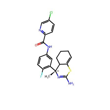 C[C@]1(c2cc(NC(=O)c3ccc(Cl)cn3)ccc2F)N=C(N)SC2=CCCCC21